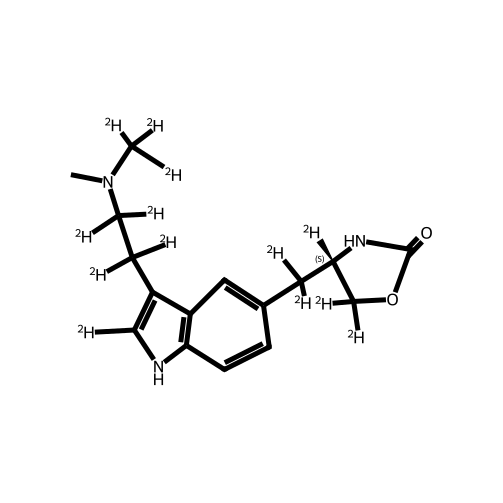 [2H]c1[nH]c2ccc(C([2H])([2H])[C@]3([2H])NC(=O)OC3([2H])[2H])cc2c1C([2H])([2H])C([2H])([2H])N(C)C([2H])([2H])[2H]